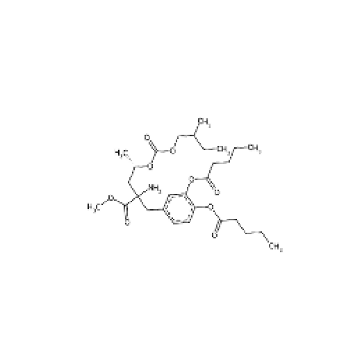 CCCCC(=O)Oc1ccc(CC(N)(C[C@H](C)OC(=O)OCC(C)CC)C(=O)OC)cc1OC(=O)CCCC